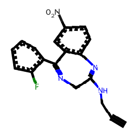 C#CCNC1=Nc2ccc([N+](=O)[O-])cc2C(c2ccccc2F)=NC1